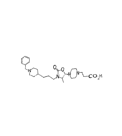 CC1C(N2CCN(CCC(=O)O)CC2)OC(=O)N1CCCC1CCN(Cc2ccccc2)CC1